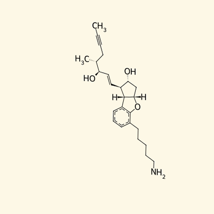 CC#CC[C@@H](C)[C@H](O)/C=C/[C@@H]1[C@H]2c3cccc(CCCCCN)c3O[C@H]2C[C@H]1O